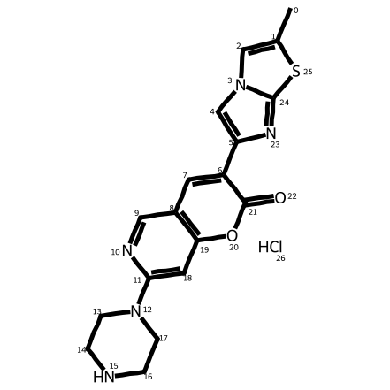 Cc1cn2cc(-c3cc4cnc(N5CCNCC5)cc4oc3=O)nc2s1.Cl